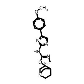 COc1ccc(-c2csc(NC3=NC[C@]4(CN5CCC4CC5)O3)n2)cc1